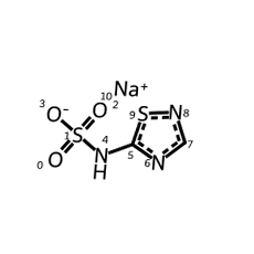 O=S(=O)([O-])Nc1ncns1.[Na+]